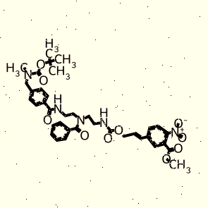 COC(=O)c1cc(/C=C/COC(=O)NCCN(CCNC(=O)c2ccc(CN(C)C(=O)OC(C)(C)C)cc2)C(=O)c2ccccc2)ccc1[N+](=O)[O-]